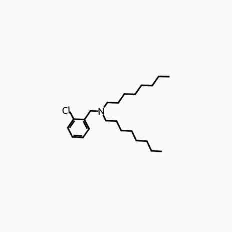 CCCCCCCCN(CCCCCCCC)Cc1ccccc1Cl